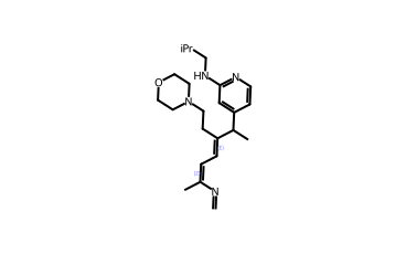 C=N/C(C)=C\C=C(/CCN1CCOCC1)C(C)c1ccnc(NCC(C)C)c1